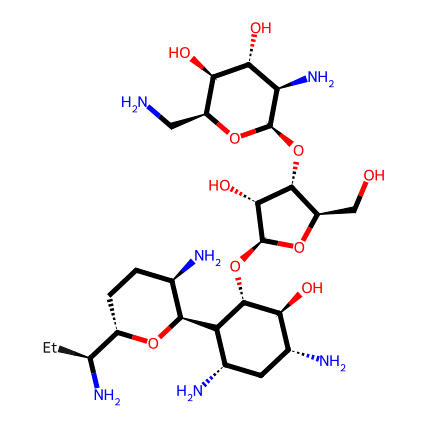 CC[C@H](N)[C@@H]1CC[C@@H](N)[C@@H](C2[C@@H](N)C[C@@H](N)[C@H](O)[C@H]2O[C@@H]2O[C@H](CO)[C@@H](O[C@H]3O[C@@H](CN)[C@@H](O)[C@H](O)[C@H]3N)[C@H]2O)O1